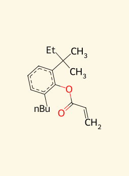 C=CC(=O)Oc1c(CCCC)cccc1C(C)(C)CC